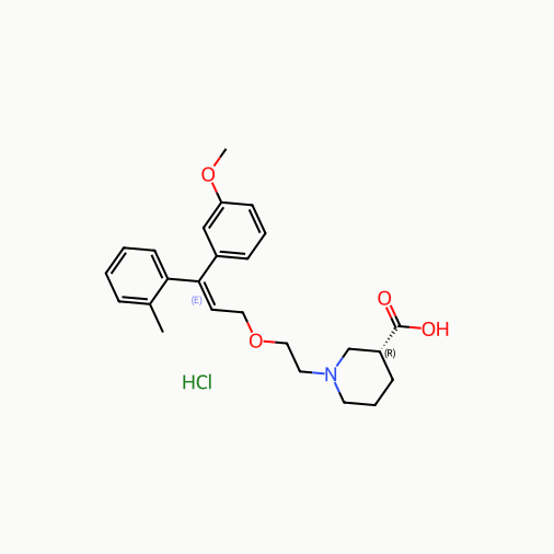 COc1cccc(/C(=C\COCCN2CCC[C@@H](C(=O)O)C2)c2ccccc2C)c1.Cl